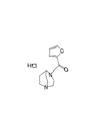 Cl.O=C(c1ccco1)N1CCN2CCC1CC2